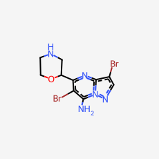 Nc1c(Br)c(C2CNCCO2)nc2c(Br)cnn12